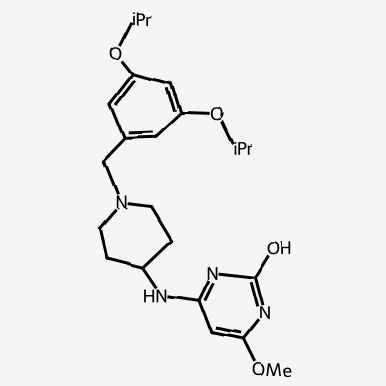 COc1cc(NC2CCN(Cc3cc(OC(C)C)cc(OC(C)C)c3)CC2)nc(O)n1